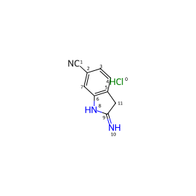 Cl.N#Cc1ccc2c(c1)NC(=N)C2